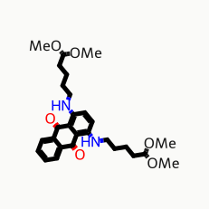 COC(CCCCNc1ccc(NCCCCC(OC)OC)c2c1C(=O)c1ccccc1C2=O)OC